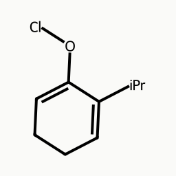 CC(C)C1=CCCC=C1OCl